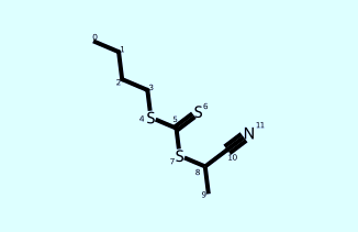 CCCCSC(=S)SC(C)C#N